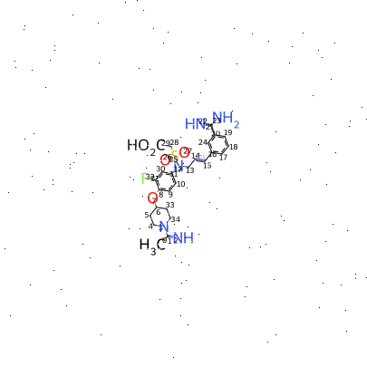 CC(=N)N1CCC(Oc2ccc(N(C/C=C/c3cccc(C(=N)N)c3)S(=O)(=O)CC(=O)O)cc2F)CC1